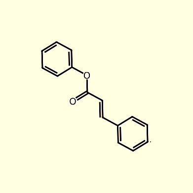 O=C(C=Cc1cc[c]cc1)Oc1ccccc1